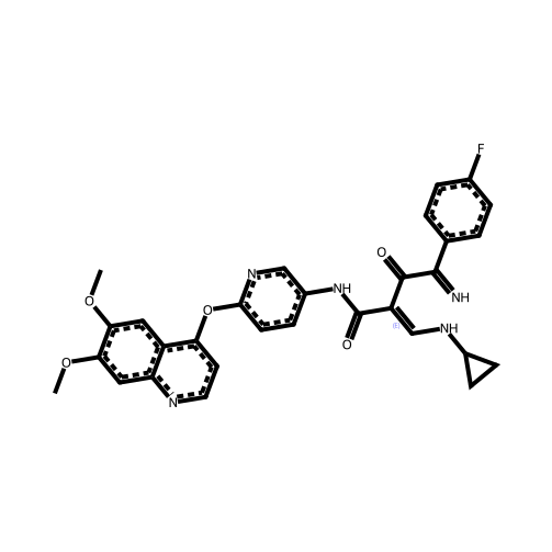 COc1cc2nccc(Oc3ccc(NC(=O)/C(=C/NC4CC4)C(=O)C(=N)c4ccc(F)cc4)cn3)c2cc1OC